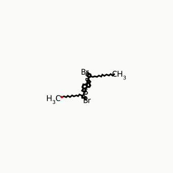 CCCCCCCCCCCCc1cc(Br)sc1-c1cc2ccc3c(ccc4cc(-c5sc(Br)cc5CCCCCCCCCCCC)sc43)c2s1